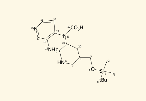 CC(C)(C)[Si](C)(C)OCC1CNCC(N(C(=O)O)c2ccncc2N)C1